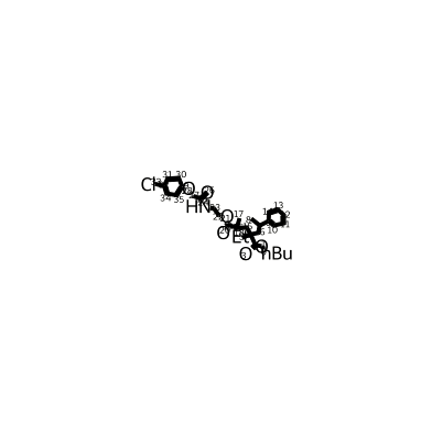 CCCCOC(=O)C(C)(CC(C)c1ccccc1)CC(C)(CC)C(=O)OCCNC(=O)COc1ccc(Cl)cc1